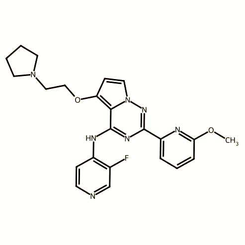 COc1cccc(-c2nc(Nc3ccncc3F)c3c(OCCN4CCCC4)ccn3n2)n1